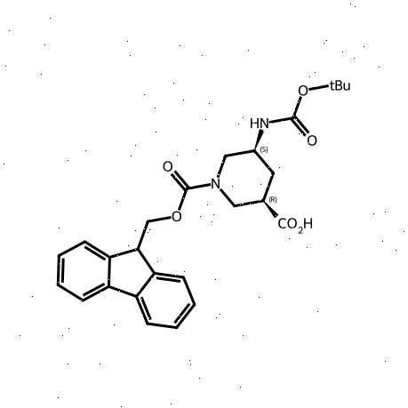 CC(C)(C)OC(=O)N[C@H]1C[C@@H](C(=O)O)CN(C(=O)OCC2c3ccccc3-c3ccccc32)C1